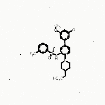 O=C(O)CC1CCN(c2ccc(-c3cc(Cl)cc(OC(F)(F)F)c3)cc2NS(=O)(=O)c2cccc(C(F)(F)F)c2)CC1